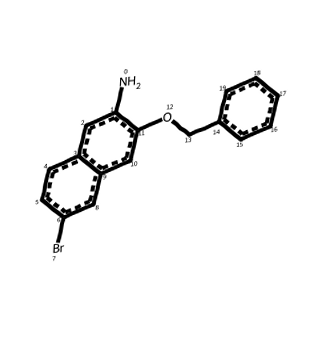 Nc1cc2ccc(Br)cc2cc1OCc1ccccc1